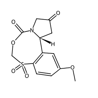 COc1ccc2c(c1)[C@H]1CC(=O)CN1C(=O)OCS2(=O)=O